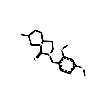 COc1ccc(CN2CCC3CCC(C)CN3C2=O)c(OC)c1